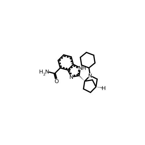 NC(=O)c1cccc2[nH]c([C@]34CC[C@H](CN3C3CCCCC3)C4)nc12